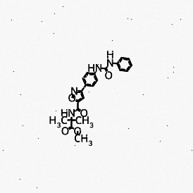 COC(=O)C(C)(C)NC(=O)c1cc(-c2ccc(NC(=O)Nc3ccccc3)cc2)no1